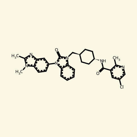 Cc1ncc(Cl)cc1C(=O)N[C@H]1CC[C@H](Cn2c(=O)n(-c3ccc4c(c3)nc(C)n4C)c3ccccc32)CC1